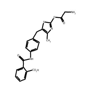 Cc1nc(OC(=O)CN)sc1Cc1ccc(NC(=O)c2ccccc2C(=O)O)cc1